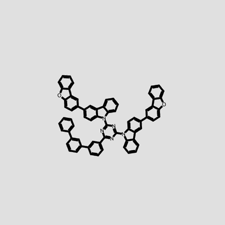 c1ccc(-c2cccc(-c3cccc(-c4nc(-n5c6ccccc6c6cc(-c7ccc8oc9ccccc9c8c7)ccc65)nc(-n5c6ccccc6c6cc(-c7ccc8oc9ccccc9c8c7)ccc65)n4)c3)c2)cc1